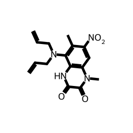 C=CCN(CC=C)c1c(C)c([N+](=O)[O-])cc2c1[nH]c(=O)c(=O)n2C